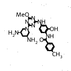 COc1nc(Nc2ccc(NC(=O)c3ccc(C)cc3)c(O)c2)nc(N2C[C@H](N)C[C@H](N)C2)n1